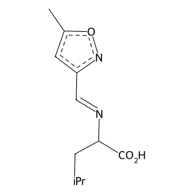 Cc1cc(/C=N/C(CC(C)C)C(=O)O)no1